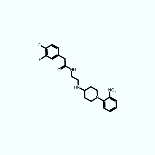 O=C(Cc1ccc(F)c(F)c1)NCCNC1CCN(c2ccccc2[N+](=O)[O-])CC1